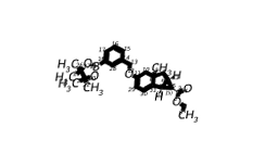 CCOC(=O)[C@H]1[C@@H]2CC3(C)CC(OCc4cccc(B5OC(C)(C)C(C)(C)O5)c4)=CC=C3[C@@H]21